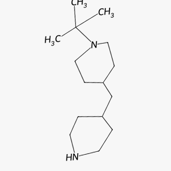 CC(C)(C)N1CCC(CC2CCNCC2)CC1